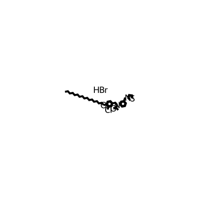 Br.CCCCCCCCCCCCCCCCOc1ccc(CN(C(C)=O)c2cccc(CN3C=CSC3)c2)cc1Cl